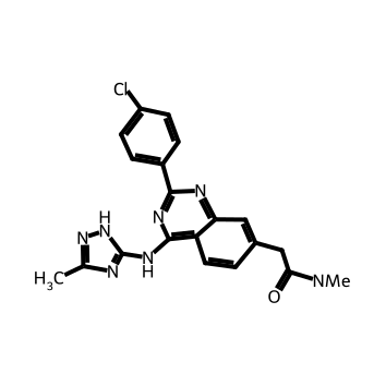 CNC(=O)Cc1ccc2c(Nc3nc(C)n[nH]3)nc(-c3ccc(Cl)cc3)nc2c1